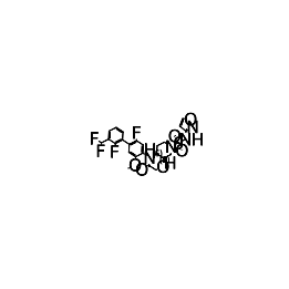 COc1cc(-c2cccc(C(F)F)c2F)c(F)cc1N1C(=O)CO[C@H]2CN(S(=O)(=O)Nc3ccon3)CC[C@@H]21